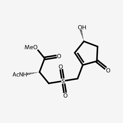 COC(=O)[C@H](CS(=O)(=O)CC1=C[C@H](O)CC1=O)NC(C)=O